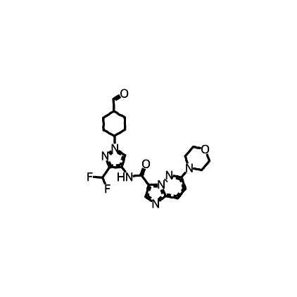 O=CC1CCC(n2cc(NC(=O)c3cnc4ccc(N5CCOCC5)nn34)c(C(F)F)n2)CC1